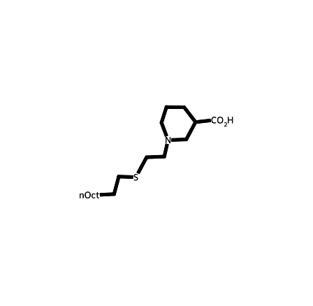 CCCCCCCCCCSCCN1CCCC(C(=O)O)C1